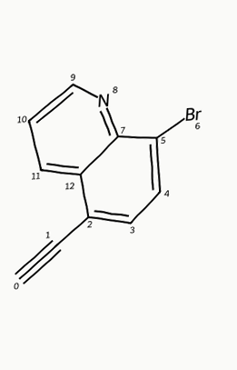 C#Cc1ccc(Br)c2ncccc12